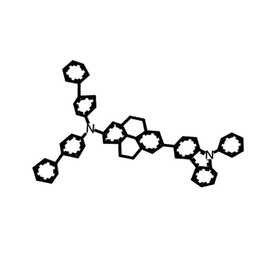 c1ccc(-c2ccc(N(c3ccc(-c4ccccc4)cc3)c3cc4c5c(c3)CCc3cc(-c6ccc7c(c6)c6ccccc6n7-c6ccccc6)cc(c3-5)CC4)cc2)cc1